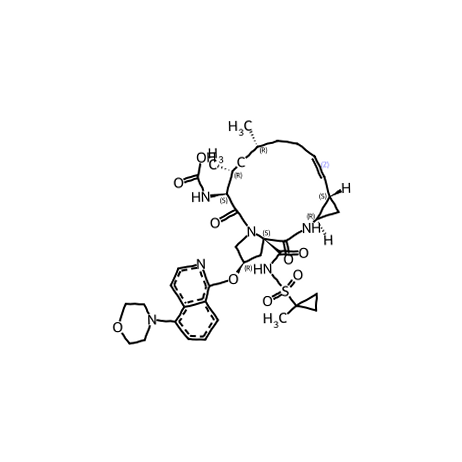 C[C@@H]1CC/C=C\[C@@H]2C[C@H]2NC(=O)[C@]2(C(=O)NS(=O)(=O)C3(C)CC3)C[C@@H](Oc3nccc4c(N5CCOCC5)cccc34)CN2C(=O)[C@@H](NC(=O)O)[C@H](C)C1